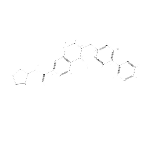 O=C(OC1CCCC1)c1ccc2c(c1)OCC(Cc1ccc(-c3ccccc3)cc1)C2O